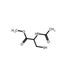 COC(=O)C(CS)NC(C)=O